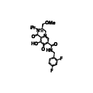 COC[C@H]1Cn2cc(C(=O)NCc3ccc(F)cc3F)c(=O)c(O)c2C(=O)N1C(C)C